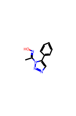 CC(=NO)n1nncc1-c1ccccc1